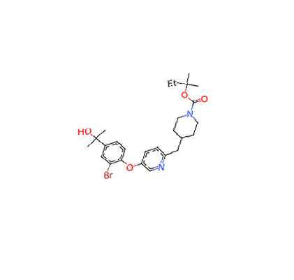 CCC(C)(C)OC(=O)N1CCC(Cc2ccc(Oc3ccc(C(C)(C)O)cc3Br)cn2)CC1